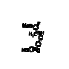 COc1cc(F)cc([C@@H](C)N[C@H]2CC[C@@H](c3ccc(C(=O)N4CCC(O)CC4)cc3)C2)c1